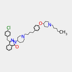 CCCCCN1CCC(Oc2ccc(CCCCN3CCCC(n4nc(Cc5ccc(Cl)cc5)c5ccccc5c4=O)CC3)cc2)CC1